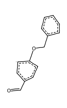 O=Cc1c[c]c(OCc2ccccc2)cc1